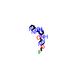 Nc1ncccc1NCc1cc(NC(=O)c2cnc(OCCF)cn2)ccn1